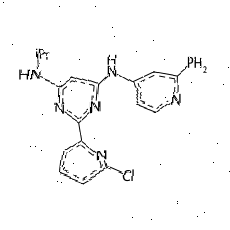 CC(C)Nc1cc(Nc2ccnc(P)c2)nc(-c2cccc(Cl)n2)n1